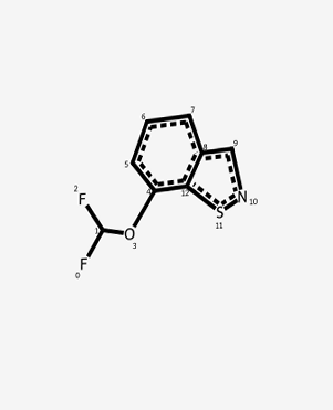 FC(F)Oc1cccc2cnsc12